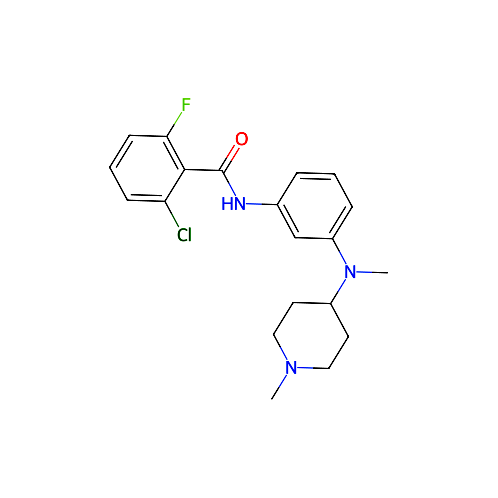 CN1CCC(N(C)c2cccc(NC(=O)c3c(F)cccc3Cl)c2)CC1